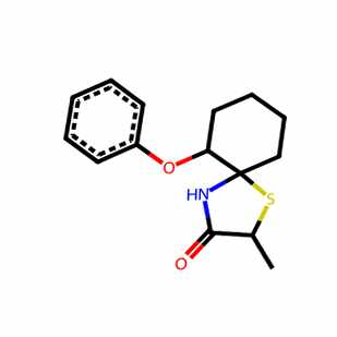 CC1SC2(CCCCC2Oc2ccccc2)NC1=O